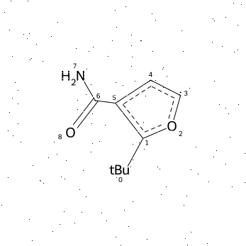 CC(C)(C)c1o[c]cc1C(N)=O